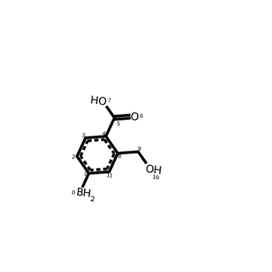 Bc1ccc(C(=O)O)c(CO)c1